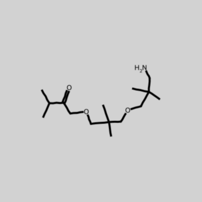 CC(C)C(=O)COCC(C)(C)COCC(C)(C)CN